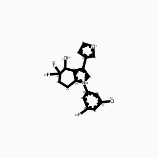 OC1c2c(-c3ccoc3)cn(-c3cc(F)cc(Cl)c3)c2CCC1(F)F